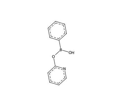 OB(Oc1ccccn1)c1ccccc1